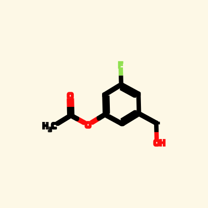 CC(=O)Oc1cc(F)cc([CH]O)c1